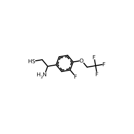 NC(CS)c1ccc(OCC(F)(F)F)c(F)c1